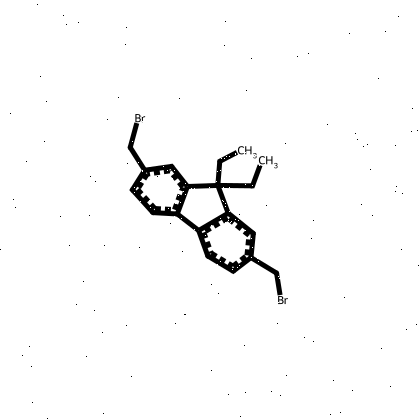 CCC1(CC)c2cc(CBr)ccc2-c2ccc(CBr)cc21